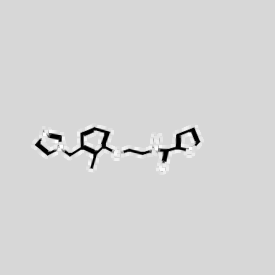 Cc1c(Cn2ccnc2)cccc1OCCNC(=O)c1cccs1